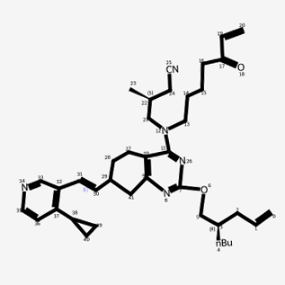 C=CC[C@@H](CCCC)COc1nc2c(c(N(CCCCC(=O)C=C)C[C@@H](C)CC#N)n1)CCC(/C=C/c1cnccc1C1CC1)C2